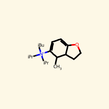 CCC(C)[N+](C1=CC=C2OCCC2C1C)(C(C)C)C(C)C